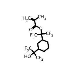 C=C(C)C(=O)OC(C1CCCC(C(O)(C(F)(F)F)C(F)(F)F)C1)(C(F)(F)F)C(F)(F)F